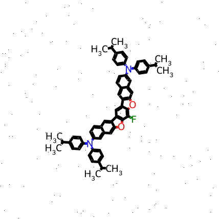 CC(C)c1ccc(N(c2ccc(C(C)C)cc2)c2ccc3cc4c(cc3c2)oc2c(F)c3oc5cc6cc(N(c7ccc(C(C)C)cc7)c7ccc(C(C)C)cc7)ccc6cc5c3cc24)cc1